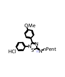 CCCCC/N=c1\nc(-c2ccc(OC)cc2)n(-c2ccccc2)s1.Cl